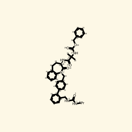 CC(C)NC(=O)NCc1ccccc1-c1ccc(CN2C(=O)[C@H](NC(=O)C(C)(C)NC(=O)OCc3ccccc3)CCc3ccccc32)cc1